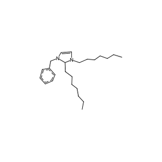 CCCCCCCC1N(CCCCCCC)C=CN1Cc1ccccc1